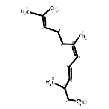 CC(C)=CCCC(C)=CC=CC(C)CC=O